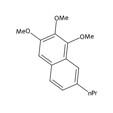 [CH2]CCc1ccc2cc(OC)c(OC)c(OC)c2c1